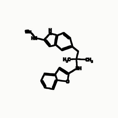 CC(C)(C)Nc1cc2cc(CC(C)(C)Nc3cc4ccccc4o3)ccc2[nH]1